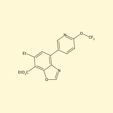 CCOC(=O)c1c(CC)cc(-c2ccc(OC(F)(F)F)nc2)c2ncoc12